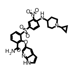 NC(=O)c1cccc(S(=O)(=O)c2ccc(NC3CCN(C4CC4)CC3)c([N+](=O)[O-])c2)c1Oc1cnc2[nH]ccc2c1